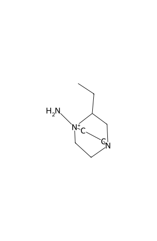 CCC1CN2CC[N+]1(N)CC2